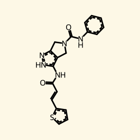 O=C(/C=C/c1cccs1)Nc1[nH]nc2c1CN(C(=O)Nc1ccccc1)C2